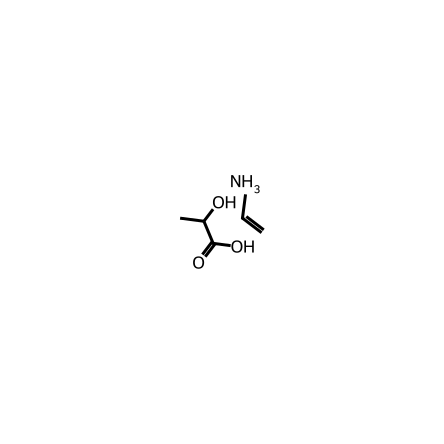 C=CC.CC(O)C(=O)O.N